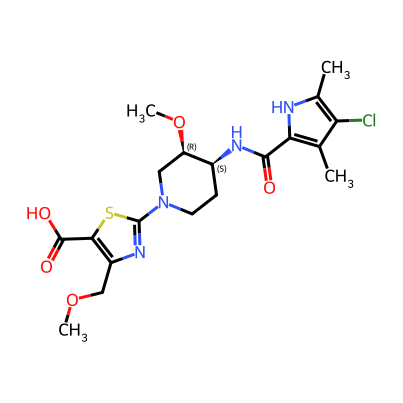 COCc1nc(N2CC[C@H](NC(=O)c3[nH]c(C)c(Cl)c3C)[C@H](OC)C2)sc1C(=O)O